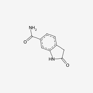 NC(=O)c1ccc2c(c1)NC(=O)C2